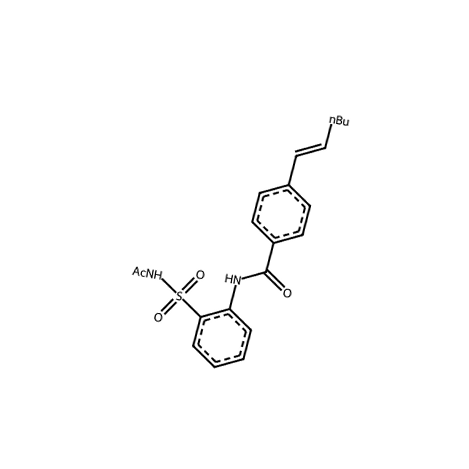 CCCC/C=C/c1ccc(C(=O)Nc2ccccc2S(=O)(=O)NC(C)=O)cc1